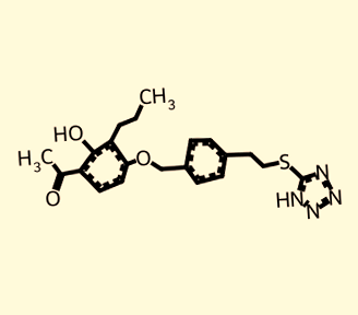 CCCc1c(OCc2ccc(CCSc3nnn[nH]3)cc2)ccc(C(C)=O)c1O